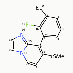 CCc1cccc(-c2c(SC)ccn3ccnc23)c1F